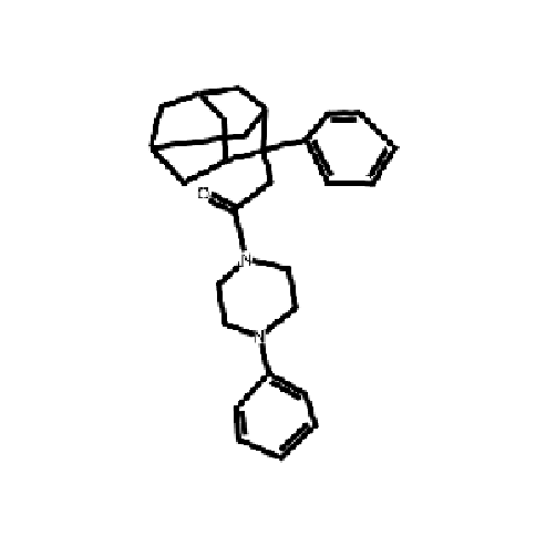 O=C(CC1(c2ccccc2)C2CC3CC(C2)CC1C3)N1CCN(c2ccccc2)CC1